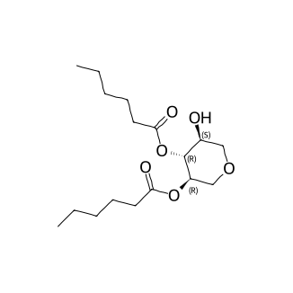 CCCCCC(=O)O[C@@H]1[C@@H](O)COC[C@H]1OC(=O)CCCCC